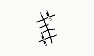 CS(=O)(=O)C(F)(F)C(F)(F)C(F)(F)C(F)(F)S(C)(=O)=O